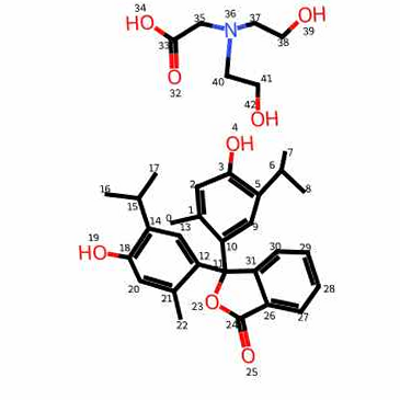 Cc1cc(O)c(C(C)C)cc1C1(c2cc(C(C)C)c(O)cc2C)OC(=O)c2ccccc21.O=C(O)CN(CCO)CCO